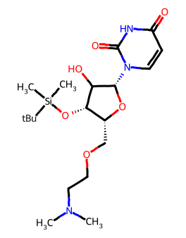 CN(C)CCOC[C@H]1O[C@@H](n2ccc(=O)[nH]c2=O)C(O)[C@H]1O[Si](C)(C)C(C)(C)C